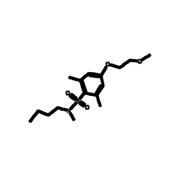 CCCCN(C)S(=O)(=O)c1c(C)cc(OCCOC)cc1C